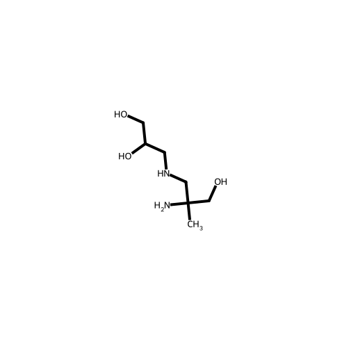 CC(N)(CO)CNCC(O)CO